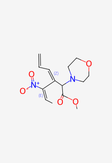 C=C/C=C(\C(=C/C)[N+](=O)[O-])C(C(=O)OC)N1CCOCC1